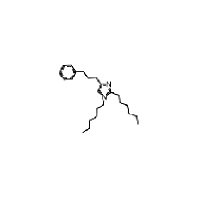 CCCCCCc1nc(CCCc2ccccc2)cn1CCCCCC